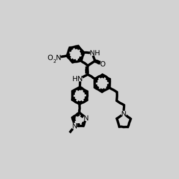 Cn1cnc(-c2ccc(NC(=C3C(=O)Nc4ccc([N+](=O)[O-])cc43)c3ccc(CCCN4CCCC4)cc3)cc2)c1